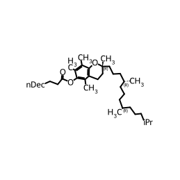 CCCCCCCCCCCCC(=O)Oc1c(C)c(C)c2c(c1C)CC[C@@](C)(CCC[C@H](C)CCC[C@H](C)CCCC(C)C)O2